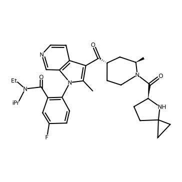 CCN(C(=O)c1cc(F)ccc1-n1c(C)c(C(=O)[C@H]2CCN(C(=O)[C@@H]3CCC4(CC4)N3)[C@H](C)C2)c2ccncc21)C(C)C